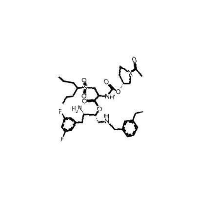 CCCC(CCC)S(=O)(=O)CC(NC(=O)O[C@@H]1CCN(C(C)=O)C1)C(=O)O[C@H](CNCc1cccc(CC)c1)[C@@H](N)Cc1cc(F)cc(F)c1